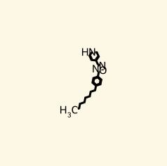 CCCCCCCCc1ccc(-c2nc(C3=CCNC=C3)no2)cc1